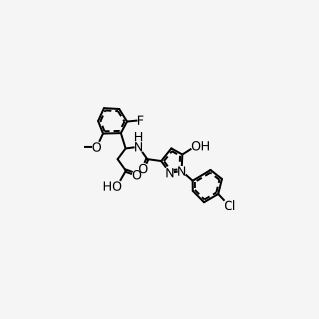 COc1cccc(F)c1C(CC(=O)O)NC(=O)c1cc(O)n(-c2ccc(Cl)cc2)n1